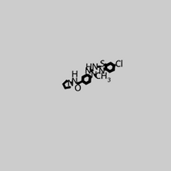 Cn1c(Nc2nc3ccc(Cl)cc3s2)nc2cc(C(=O)NN3CCCC3)ccc21